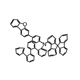 c1ccc(-c2ccccc2-c2ccccc2-c2ccccc2N(c2ccc(-c3ccc4c(c3)oc3ccccc34)cc2)c2cccc3c2-c2ccccc2C32c3ccccc3-c3ccccc32)cc1